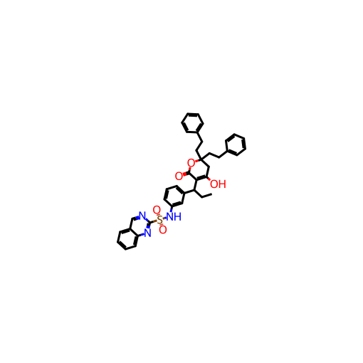 CCC(C1=C(O)CC(CCc2ccccc2)(CCc2ccccc2)OC1=O)c1cccc(NS(=O)(=O)c2ncc3ccccc3n2)c1